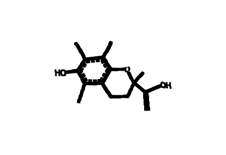 C=C(O)C1(C)CCc2c(C)c(O)c(C)c(C)c2O1